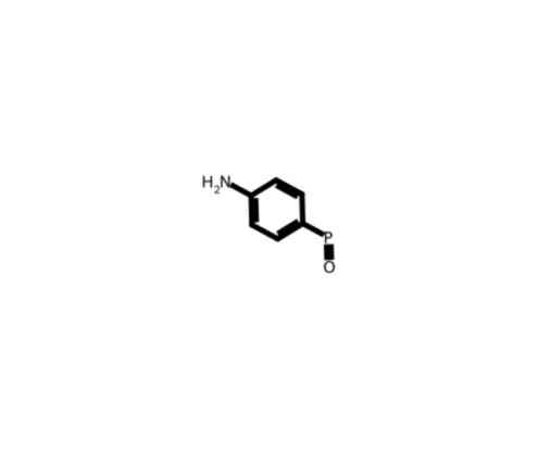 Nc1ccc(P=O)cc1